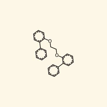 c1ccc(-c2ccccc2OCCOc2ccccc2-c2ccccc2)cc1